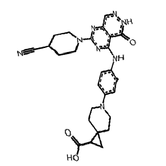 N#CC1CCN(c2nc(Nc3ccc(N4CCC5(CC4)CC5C(=O)O)cc3)c3c(=O)[nH]ncc3n2)CC1